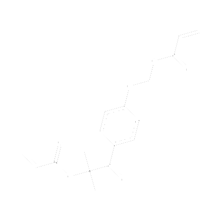 C=CC(=O)OCOc1ccc(C(=O)C(C)(C)OC(=O)C=C)cc1